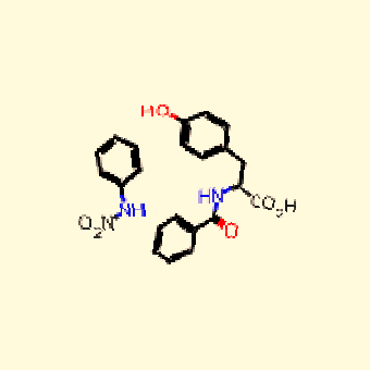 O=C(N[C@@H](Cc1ccc(O)cc1)C(=O)O)c1ccccc1.O=[N+]([O-])Nc1ccccc1